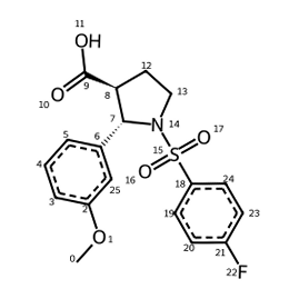 COc1cccc([C@@H]2[C@@H](C(=O)O)CCN2S(=O)(=O)c2ccc(F)cc2)c1